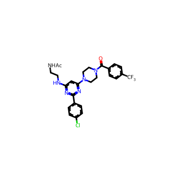 CC(=O)NCCNc1cc(N2CCN(C(=O)c3ccc(C(F)(F)F)cc3)CC2)nc(-c2ccc(Cl)cc2)n1